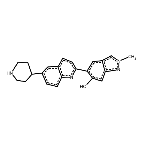 Cn1cc2cc(-c3ccc4cc(C5CCNCC5)ccc4n3)c(O)cc2n1